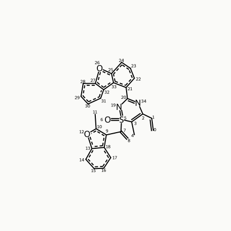 C=CC1=C(C)S(=O)(C(=C)c2c(C)oc3ccccc23)=NC(c2cccc3oc4ccccc4c23)=N1